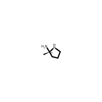 C[C@]1(N)CCCN1